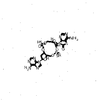 Nc1ncnc2c1ncn2[C@H]1CC2OP(=O)(S)OC[C@@H]3C[C@@H](O[P@@](=O)(S)OC[C@H]2O1)[C@H](n1c(=O)sc2c(N)ncnc21)O3